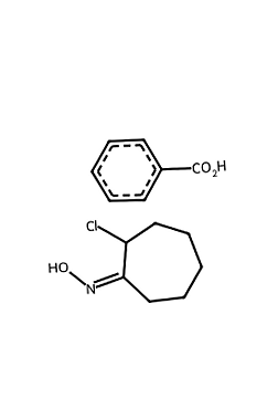 O/N=C1/CCCCCC1Cl.O=C(O)c1ccccc1